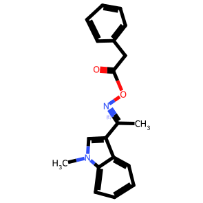 C/C(=N\OC(=O)Cc1ccccc1)c1cn(C)c2ccccc12